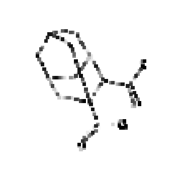 O=C(Cl)C1C2CC3CC(C2)CC1(C(=O)Cl)C3